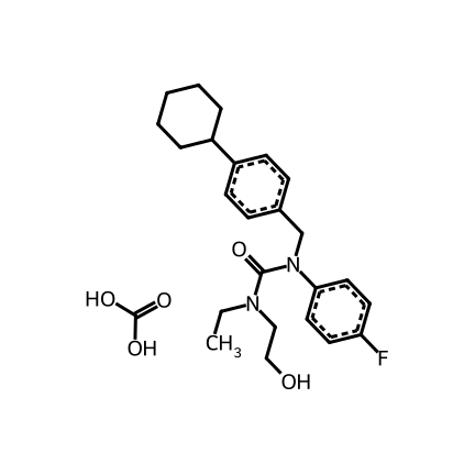 CCN(CCO)C(=O)N(Cc1ccc(C2CCCCC2)cc1)c1ccc(F)cc1.O=C(O)O